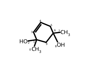 CC1(O)C=CCC(C)(O)C1